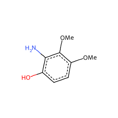 COc1ccc(O)c(N)c1OC